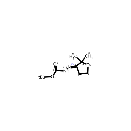 CC(C)(C)OC(=O)N/N=C1\CCOC1(C)C